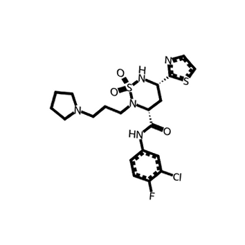 O=C(Nc1ccc(F)c(Cl)c1)[C@H]1C[C@@H](c2nccs2)NS(=O)(=O)N1CCCN1CCCC1